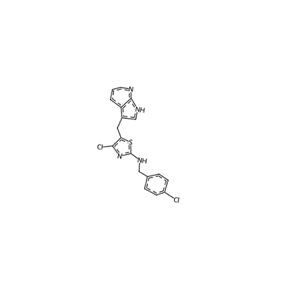 Clc1ccc(CNc2nc(Cl)c(Cc3c[nH]c4ncccc34)s2)cc1